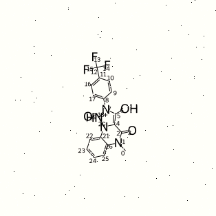 CN1C(=O)C2=C(O)N(c3ccc(C(F)(F)F)cc3)[NH+]([O-])N2c2ccccc21